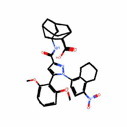 COc1cccc(OC)c1-c1cc(C(=O)NC23CC4CC(CC(C4)C2C(=O)O)C3)nn1-c1ccc([N+](=O)[O-])c2c1CCCC2